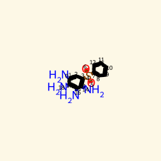 Nc1cc(S(=O)(=O)c2ccccc2)c(N)c(N)c1N